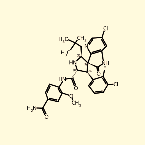 COc1cc(C(N)=O)ccc1NC(=O)[C@@H]1N[C@@H](CC(C)(C)C)[C@@]2(C(=O)Nc3cc(Cl)cnc32)[C@H]1c1cccc(Cl)c1F